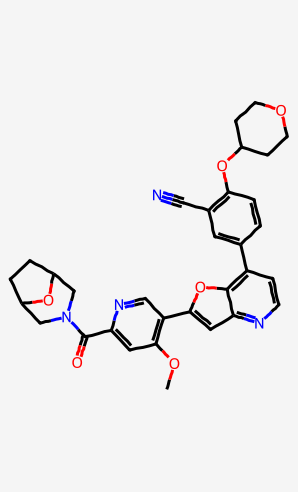 COc1cc(C(=O)N2CC3CCC(C2)O3)ncc1-c1cc2nccc(-c3ccc(OC4CCOCC4)c(C#N)c3)c2o1